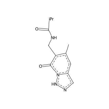 Cc1cc2cn[nH]n2c(=O)c1CNC(=O)C(C)C